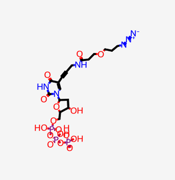 [N-]=[N+]=NCCCOCCC(=O)NCC#Cc1cn(C2CC(O)C(COP(=O)(O)OP(=O)(O)OP(=O)(O)O)O2)c(=O)[nH]c1=O